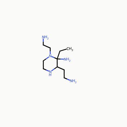 CCC1(N)C(CCN)NCCN1CCN